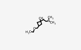 CCOCC1CC(C)(CCN(C)C)C1